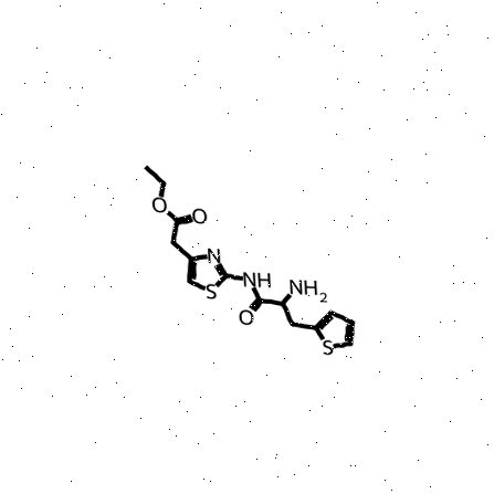 CCOC(=O)Cc1csc(NC(=O)C(N)Cc2cccs2)n1